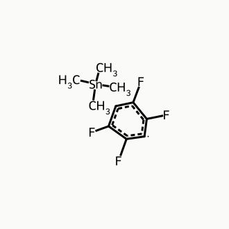 Fc1[c]c(F)c(F)cc1F.[CH3][Sn]([CH3])([CH3])[CH3]